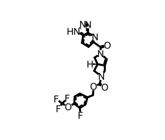 O=C(c1ccc2[nH]nnc2n1)N1C=C2CN(C(=O)OCc3ccc(OC(F)(F)F)c(F)c3)C[C@@H]2C1